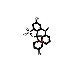 CC(c1ccccc1)c1cc(O)cc(S(=O)(=O)O)c1C(C)(C)c1ccc(O)cc1